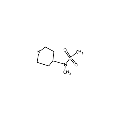 CN(C1CC[N]CC1)S(C)(=O)=O